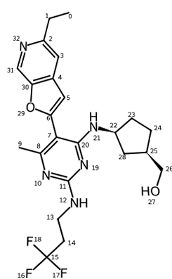 CCc1cc2cc(-c3c(C)nc(NCCC(F)(F)F)nc3N[C@H]3CC[C@@H](CO)C3)oc2cn1